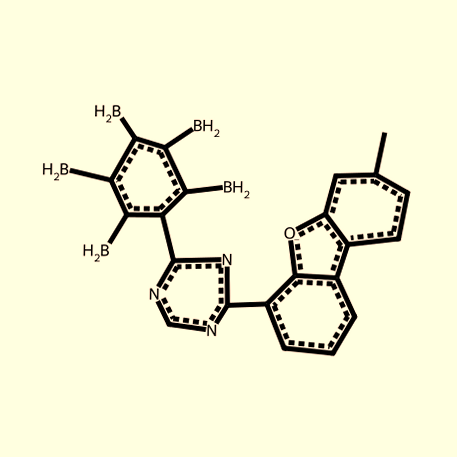 Bc1c(B)c(B)c(-c2ncnc(-c3cccc4c3oc3cc(C)ccc34)n2)c(B)c1B